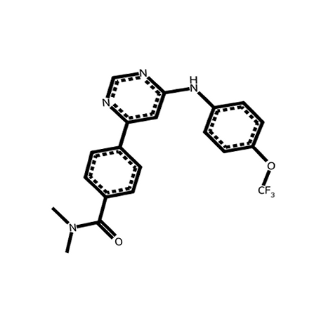 CN(C)C(=O)c1ccc(-c2cc(Nc3ccc(OC(F)(F)F)cc3)ncn2)cc1